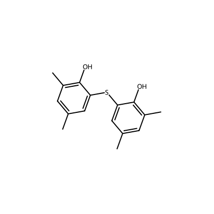 Cc1cc(C)c(O)c(Sc2cc(C)cc(C)c2O)c1